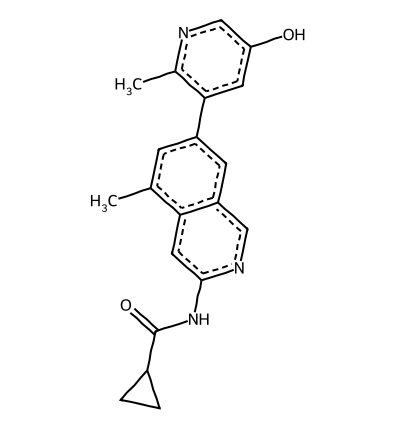 Cc1ncc(O)cc1-c1cc(C)c2cc(NC(=O)C3CC3)ncc2c1